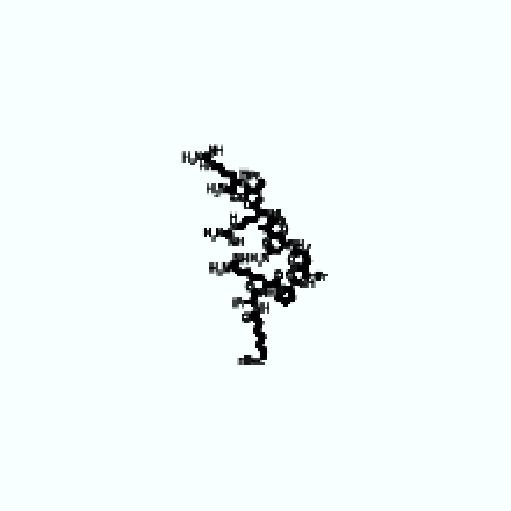 CCCCCCCCCCCCCCCC(=O)N[C@H](C(=O)N[C@@H](CCCCC(=N)N)C(=O)N1CCC[C@H]1C(=O)N[C@H](C(=O)C[C@@H](C)C(=O)N[C@@H](CC(N)=O)C(=O)C[C@@H](C)C(=O)N[C@@H](CCCNC(=N)N)C(=O)C[C@@H](CC(C)C)C(=O)NC(CCCNC(=N)N)C(N)=O)C(C)C)C(C)C